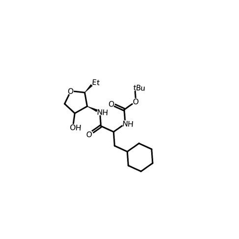 CC[C@@H]1OCC(O)[C@@H]1NC(=O)C(CC1CCCCC1)NC(=O)OC(C)(C)C